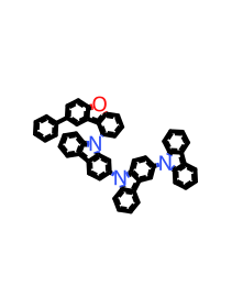 c1ccc(-c2ccc3oc4cccc(-n5c6ccccc6c6ccc(-n7c8ccccc8c8cc(-n9c%10ccccc%10c%10ccccc%109)ccc87)cc65)c4c3c2)cc1